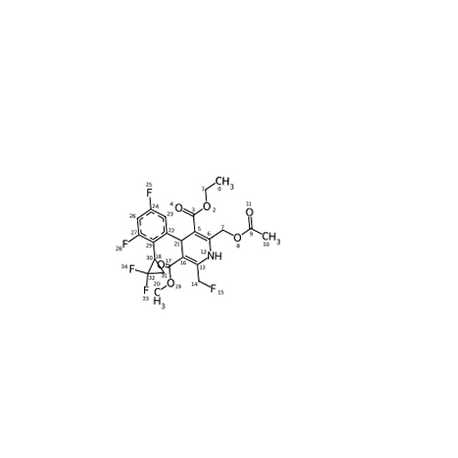 CCOC(=O)C1=C(COC(C)=O)NC(CF)=C(C(=O)OC)C1c1cc(F)cc(F)c1C1CC1(F)F